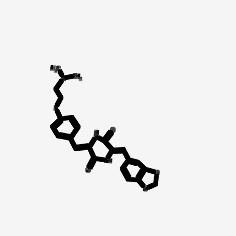 CN(C)CCSc1ccc(/C=c2\[nH]c(=O)/c(=C/c3ccc4c(c3)OCO4)[nH]c2=O)cc1